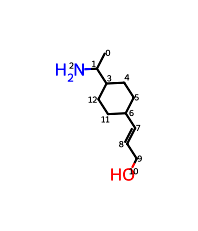 CC(N)C1CCC(/C=C/CO)CC1